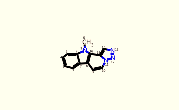 Cn1c2ccccc2c2ccn3nncc3c21